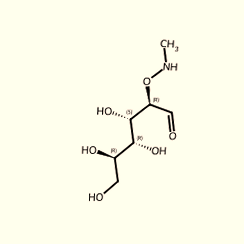 CNO[C@@H](C=O)[C@@H](O)[C@H](O)[C@H](O)CO